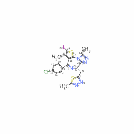 Cc1nnc(C[C@@H]2N=C(c3ccc(Cl)cc3)c3c(sc(I)c3C)-n3c(C)nnc32)s1